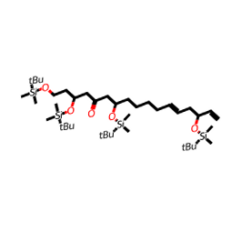 C=CC(CC=CCCCCC(CC(=O)CC(CCO[Si](C)(C)C(C)(C)C)O[Si](C)(C)C(C)(C)C)O[Si](C)(C)C(C)(C)C)O[Si](C)(C)C(C)(C)C